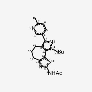 CCC(C)n1nc(-c2ccc(C)nc2)c2c1-c1sc(NC(C)=O)nc1CCC2